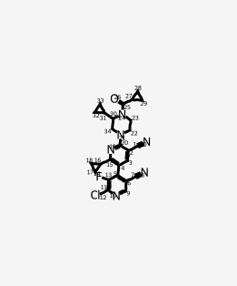 N#Cc1cc(-c2c(C#N)cnc(Cl)c2F)c(C2CC2)nc1N1CCN(C(=O)C2CC2)C(C2CC2)C1